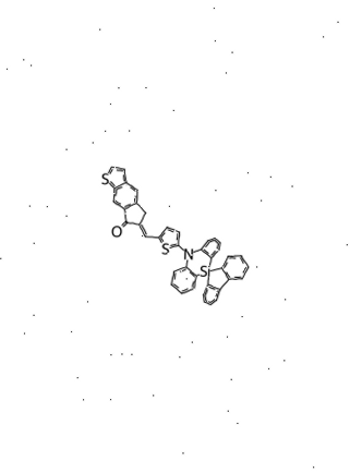 O=C1/C(=C/c2ccc(N3c4ccccc4[Si]4(c5ccccc5-c5ccccc54)c4ccccc43)s2)Cc2cc3ccsc3cc21